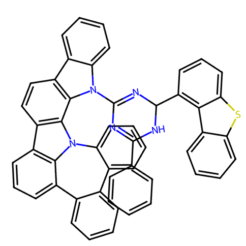 c1ccc(C2=NC(n3c4ccccc4c4ccc5c6cccc7c6n(c5c43)-c3ccccc3-c3ccccc3-7)=NC(c3cccc4sc5ccccc5c34)N2)cc1